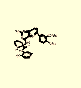 COc1ccc(-c2ccc3nc(N)nc(NC4(C(=O)Nc5ccccc5C)CCCNC4)c3n2)cc1OC